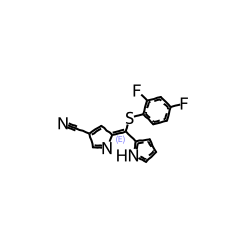 N#CC1=C/C(=C(\Sc2ccc(F)cc2F)c2ccc[nH]2)N=C1